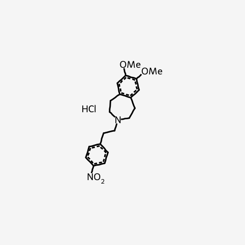 COc1cc2c(cc1OC)CCN(CCc1ccc([N+](=O)[O-])cc1)CC2.Cl